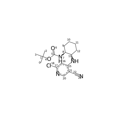 CC(C)(C)OC(=O)N[C@H]1CCCC[C@H]1Nc1cc(Cl)ncc1C#N